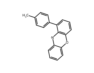 Cc1ccc(-c2cccc3c2[N]c2ccccc2O3)cc1